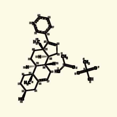 CC(=O)O.CS(=O)(=O)O.C[C@]12CC[C@H](O)CC1=CC[C@@H]1[C@@H]2CC[C@]2(C)C(c3cccnc3)=CC[C@@H]12